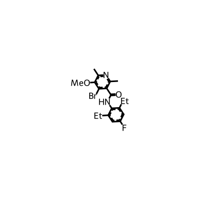 CCc1cc(F)cc(CC)c1NC(=O)c1c(C)nc(C)c(OC)c1Br